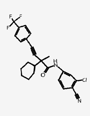 CC(C#Cc1ccc(C(F)(F)F)cc1)(C(=O)Nc1ccc(C#N)c(Cl)c1)C1CCCCC1